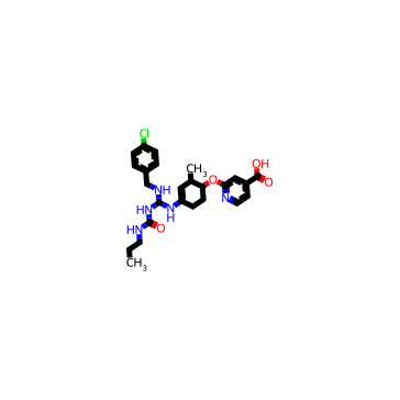 CCCNC(=O)NC(NCc1ccc(Cl)cc1)NC1=CC(C)C(Oc2cc(C(=O)O)ccn2)CC1